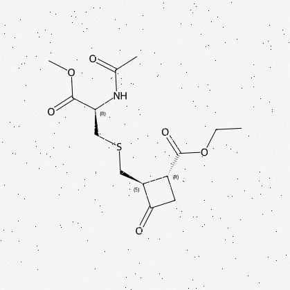 CCOC(=O)[C@@H]1CC(=O)[C@H]1CSC[C@H](NC(C)=O)C(=O)OC